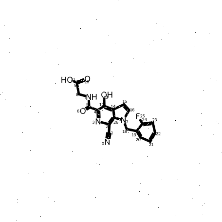 N#Cc1nc(C(=O)NCC(=O)O)c(O)c2ccn(Cc3ccccc3F)c12